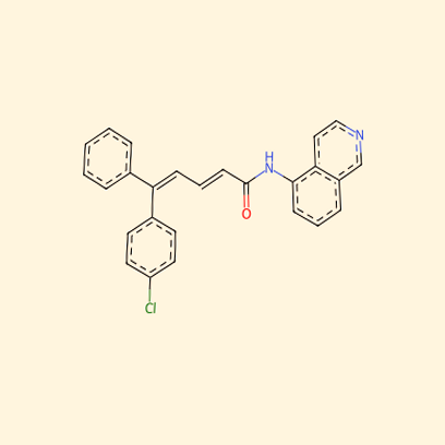 O=C(C=CC=C(c1ccccc1)c1ccc(Cl)cc1)Nc1cccc2cnccc12